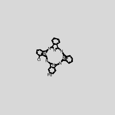 Clc1cccc2c3nc4nc(nc5[nH]c(nc6nc(nc([nH]3)c12)-c1ccccc1-6)c1ccccc51)-c1ccccc1-4.[Pd]